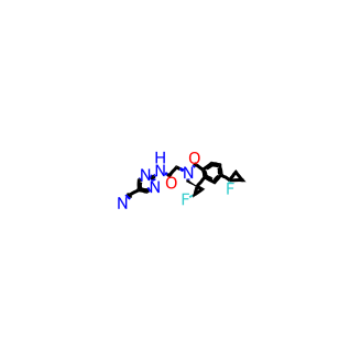 N#Cc1cnc(NC(=O)CN2C[C@]3(C[C@H]3F)c3cc(C4(F)CC4)ccc3C2=O)nc1